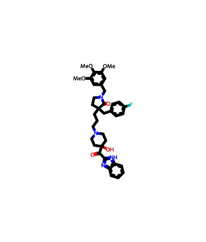 COc1cc(CN2CCC(CCCN3CCC(O)(C(=O)c4nc5ccccc5[nH]4)CC3)(Cc3ccc(F)cc3)C2=O)cc(OC)c1OC